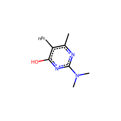 CCCc1c(C)nc(N(C)C)nc1O